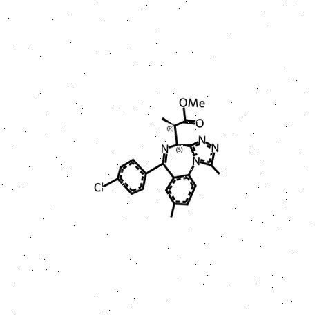 COC(=O)[C@H](C)[C@@H]1N=C(c2ccc(Cl)cc2)c2cc(C)ccc2-n2c(C)nnc21